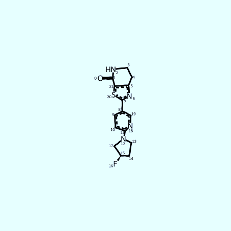 O=C1NCCc2nc(-c3ccc(N4CC[C@@H](F)C4)nc3)sc21